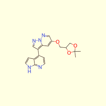 CC1(C)OCC(COc2cnn3ncc(-c4ccnc5[nH]ccc45)c3c2)O1